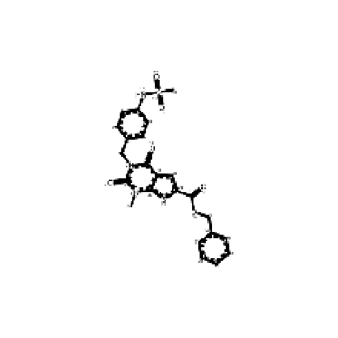 Cn1c(=O)n(Cc2ccc(NS(C)(=O)=O)cc2)c(=O)c2cc(C(=O)OCc3ccccc3)sc21